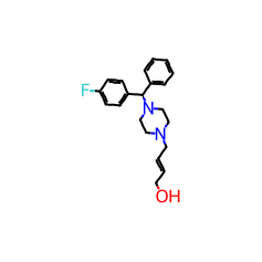 OC/C=C/CN1CCN([C@H](c2ccccc2)c2ccc(F)cc2)CC1